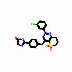 O=C1CN=C(c2ccc(Cc3nc(-c4cccc(Cl)c4)nc4c3S(=O)(=O)CCC4)cc2)N1